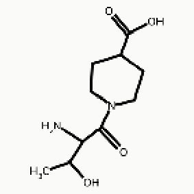 CC(O)C(N)C(=O)N1CCC(C(=O)O)CC1